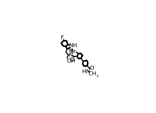 CNC(=O)c1ccc(-c2ccc(Br)c(C(=O)NC(CO)Cc3c[nH]c4cc(F)ccc34)c2)cc1